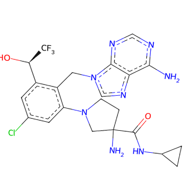 Nc1ncnc2c1ncn2Cc1c([C@@H](O)C(F)(F)F)cc(Cl)cc1N1CCC(N)(C(=O)NC2CC2)C1